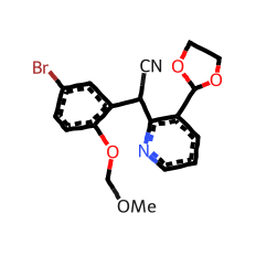 COCOc1ccc(Br)cc1C(C#N)c1ncccc1C1OCCO1